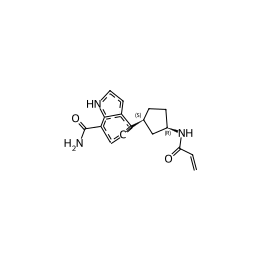 C=CC(=O)N[C@@H]1CC[C@H](c2ccc(C(N)=O)c3[nH]ccc23)C1